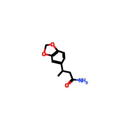 CC(CC(N)=O)c1ccc2c(c1)OCO2